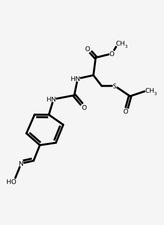 COC(=O)C(CSC(C)=O)NC(=O)Nc1ccc(C=NO)cc1